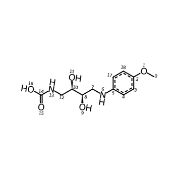 COc1ccc(NC[C@@H](O)[C@H](O)CNC(=O)O)cc1